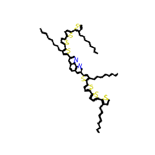 CCCCCCCCc1ccsc1-c1ccc(-c2ccc(-c3sc(-c4cnc5c(ccc6cc(-c7cc(CCCCCCCC)c(-c8ccc(-c9ccc(-c%10sccc%10CCCCCCCC)s9)s8)s7)cnc65)c4)cc3CCCCCCCC)s2)s1